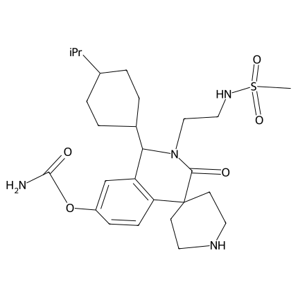 CC(C)C1CCC(C2c3cc(OC(N)=O)ccc3C3(CCNCC3)C(=O)N2CCNS(C)(=O)=O)CC1